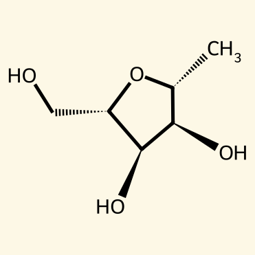 C[C@H]1O[C@@H](CO)[C@H](O)[C@@H]1O